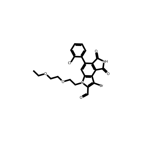 CCOCCOCCn1c(C=O)c(Br)c2c3c(c(-c4ccccc4Cl)cc21)C(=O)NC3=O